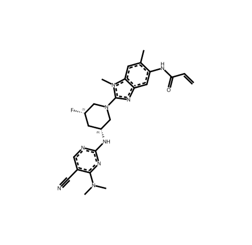 C=CC(=O)Nc1cc2nc(N3C[C@@H](F)C[C@@H](Nc4ncc(C#N)c(N(C)C)n4)C3)n(C)c2cc1C